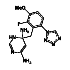 COc1ccc(-n2cnnn2)c(CC2(N)C=C(N)N=CN2)c1F